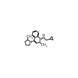 CC1CCCN1C1=CC(C)N(NCC2CC2)c2ccccc21